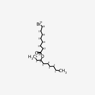 CCCCCCC(CC)OC(=O)CCCCCCCBr